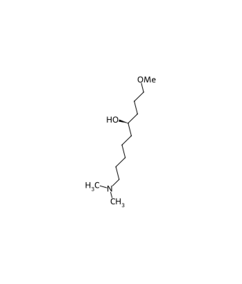 [CH2]OCCC[C@H](O)CCCCCN(C)C